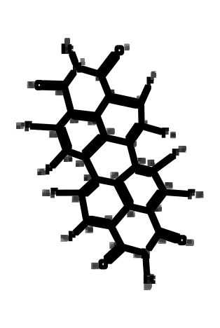 CCN1C(=O)c2c(F)c(F)c3c4c(F)c(F)c5c6c(c(F)c(F)c(c7c(F)c(F)c(c2c37)C1=O)c64)C(=O)N(CC)C5=O